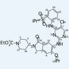 CCOC(=O)N1CCC(N2Cc3cc(OC(C)C)c(Nc4ncc(Cl)c(Nc5ccccc5S(=O)(=O)C(C)C)n4)cc3C2=O)CC1